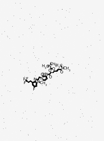 CN(C)C(=O)/C=C/CC[C@H](OC(=O)N(C)C)C(=O)Nc1cccn(Cc2nc3c(CCC(F)(F)F)cc(F)cc3n2C)c1=O